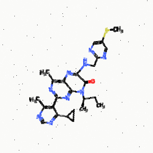 CC[C@@H](C)n1c(=O)c(NCc2ncc(SC)cn2)nc2c(C)nc(-c3c(C)ncnc3C3CC3)nc21